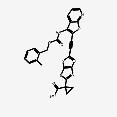 Cc1ccccc1COC(=O)Nc1c(C#Cc2nc3nc(C4(C(=O)O)CC4)sc3s2)oc2ncccc12